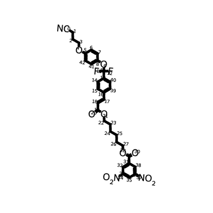 N#CCCCOc1ccc(OC(F)(F)c2ccc(C=CC(=O)OCCCCCCOC(=O)c3cc([N+](=O)[O-])cc([N+](=O)[O-])c3)cc2)cc1